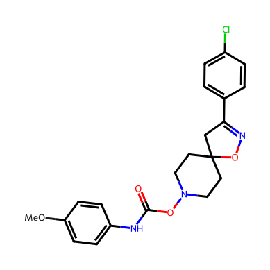 COc1ccc(NC(=O)ON2CCC3(CC2)CC(c2ccc(Cl)cc2)=NO3)cc1